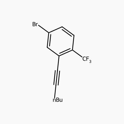 CCCCC#Cc1cc(Br)ccc1C(F)(F)F